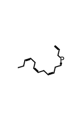 C=CC/P=C\C/C=C\C/C=C\C/C=C\CC